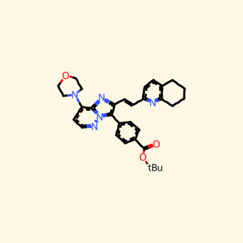 CC(C)(C)OC(=O)c1ccc(-c2c(/C=C/c3ccc4c(n3)CCCC4)nc3c(N4CCOCC4)ccnn23)cc1